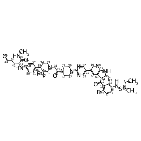 CCN(C)SNc1ccc(F)c(C(=O)C2CNc3ncc(-c4cnc(N5CCN(C(=O)CN6CCC(c7ccc(NC(CCC=O)C(=O)NC)cc7)C(F)(F)C6)CC5)nc4)cc32)c1F